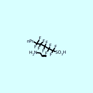 C=CCN.CCCC(F)(F)C(F)(F)C(F)(F)C(F)(F)C(F)(F)S(=O)(=O)O